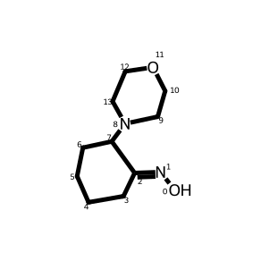 O/N=C1\CCCCC1N1CCOCC1